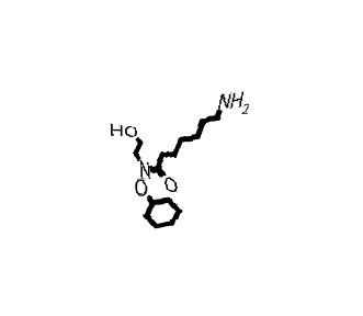 NCCCCCCC(=O)N(CCO)OC1CCCCC1